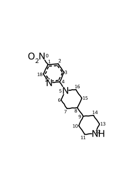 O=[N+]([O-])c1ccc(N2CCC(C3CCNCC3)CC2)nc1